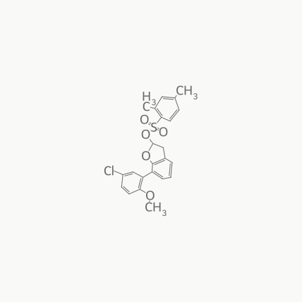 COc1ccc(Cl)cc1-c1cccc2c1OC(OS(=O)(=O)c1ccc(C)cc1C)C2